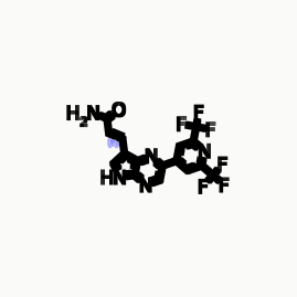 NC(=O)/C=C/c1c[nH]c2ncc(-c3cc(C(F)(F)F)nc(C(F)(F)F)c3)nc12